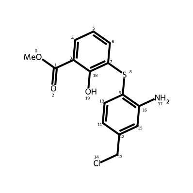 COC(=O)c1cccc(Sc2ccc(CCl)cc2N)c1O